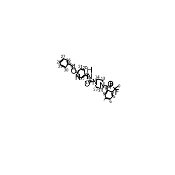 CC(F)(F)c1ccccc1C(=O)N1CCN(C(=O)Nc2ccc(OCc3ccccc3)nc2)CC1